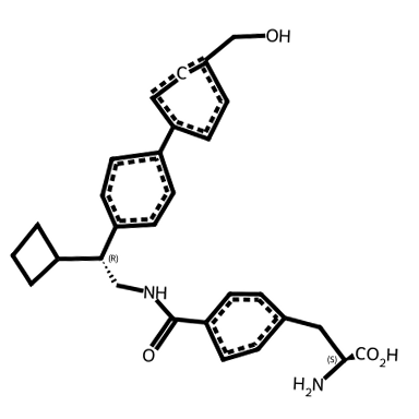 N[C@@H](Cc1ccc(C(=O)NC[C@@H](c2ccc(-c3ccc(CO)cc3)cc2)C2CCC2)cc1)C(=O)O